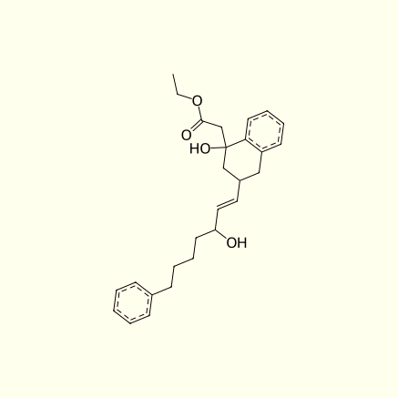 CCOC(=O)CC1(O)CC(C=CC(O)CCCCc2ccccc2)Cc2ccccc21